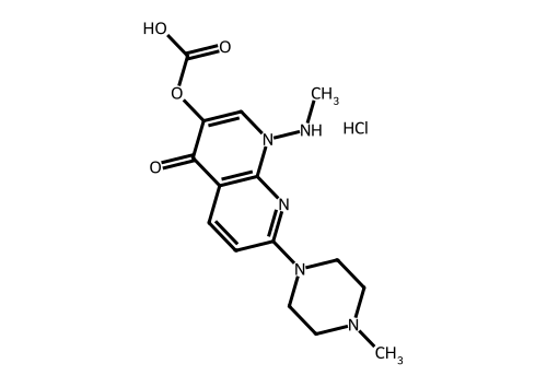 CNn1cc(OC(=O)O)c(=O)c2ccc(N3CCN(C)CC3)nc21.Cl